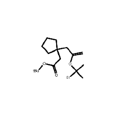 C=C(CC1(CC(=O)OC(C)(C)C)CCCC1)OC(C)(C)CC